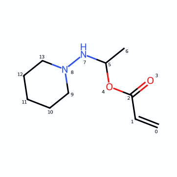 C=CC(=O)OC(C)NN1CCCCC1